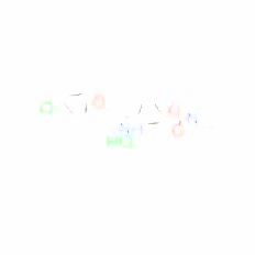 CCN(CC)C(=O)Oc1ccc(C(CCOc2ccc(Cl)cc2)NC)cc1.Cl